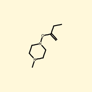 C=C(CC)ON1CCN(C)CC1